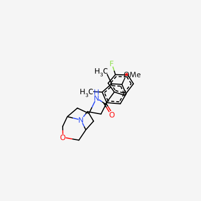 COc1ccc(CCN2C3COCC2CC(NC(=O)c2cccc(F)c2)C3)c(C)c1C